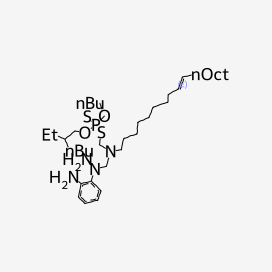 CCCCCCCC/C=C/CCCCCCCCN(CSP(=S)(OCCCC)OCC(CC)CCCC)CN(N)c1ccccc1N